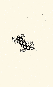 CC1(C)CC[C@]2(CO)CCC3C(C(=O)C[C@@H]4[C@@]5(C)C=C(C#N)C(=O)C(C)(C)[C@@H]5CC[C@@]34C)C2C1